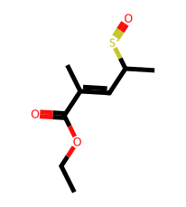 CCOC(=O)C(C)=CC(C)[S+]=O